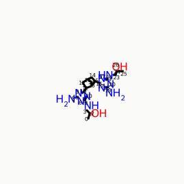 CC(O)CNc1nc(N)nc(C2CC3CC(c4nc(N)nc(NCC(C)O)n4)C2C3)n1